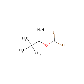 CC(C)(C)COC(=S)S.[NaH]